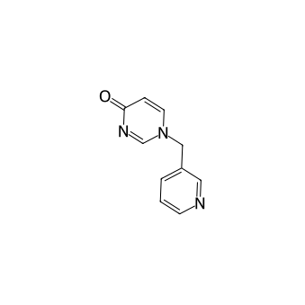 O=c1ccn(Cc2cccnc2)cn1